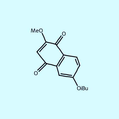 COC1=CC(=O)c2cc(OCC(C)C)ccc2C1=O